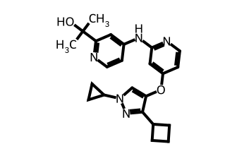 CC(C)(O)c1cc(Nc2cc(Oc3cn(C4CC4)nc3C3CCC3)ccn2)ccn1